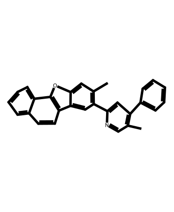 Cc1cnc(-c2cc3c(cc2C)oc2c4ccccc4ccc32)cc1-c1ccccc1